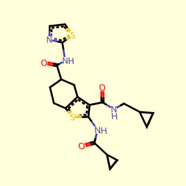 O=C(NCC1CC1)c1c(NC(=O)C2CC2)sc2c1CC(C(=O)Nc1nccs1)CC2